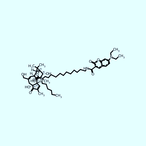 CCCCCCN(CCCCCCCCCCCCNC(=O)c1cc2ccc(N(CC)CC)cc2oc1=O)C(=O)O[C@@]12[C@H](O)[C@@H](C)[C@@]3(O)[C@@H](C=C(CO)C[C@]4(O)C(=O)C(C)=C[C@@H]34)[C@@H]1C2(C)C